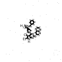 CCc1[nH]c2nc(Sc3cnc4nccnc4c3)nc(N3CC4C(C3)C4(CN)NCc3ccccc3)c2c1Cl